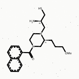 COCCC[C@H]1CN(C(=O)c2cccc3ccccc23)CCN1C[C@@H](N)CS